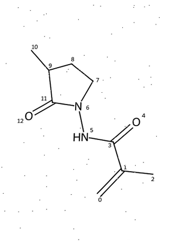 C=C(C)C(=O)NN1CCC(C)C1=O